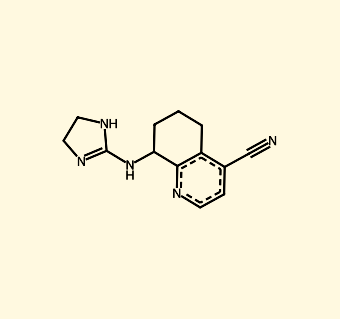 N#Cc1ccnc2c1CCCC2NC1=NCCN1